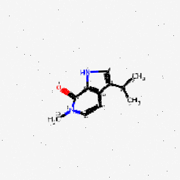 CC(C)c1c[nH]c2c(=O)n(C)ccc12